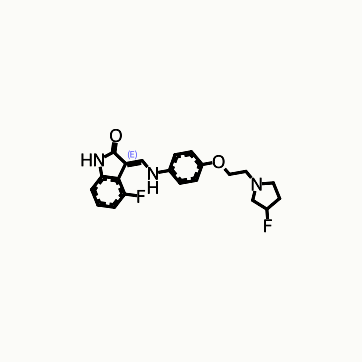 O=C1Nc2cccc(F)c2/C1=C\Nc1ccc(OCCN2CCC(F)C2)cc1